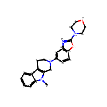 Cn1c2c(c3ccccc31)CCN(c1ccc3oc(N4CCOCC4)nc3c1)C2